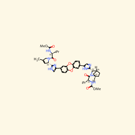 COC(=O)N[C@H](C(=O)N1CC(C)=C[C@H]1c1nc(-c2ccc3c(c2)Oc2ccc(-c4cnc([C@@H]5[C@@H]6CC[C@@H](C6)N5C(=O)[C@@H](NC(=O)OC)C(C)C)[nH]4)cc2O3)c[nH]1)C(C)C